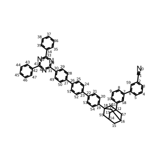 N#Cc1cccc(-c2cccc(C34CC5CC(CC(c6ccc(-c7ccc(-c8ccc(-c9nc(-c%10ccccc%10)nc(-c%10ccccc%10)n9)cc8)cc7)cc6)(C5)C3)C4)c2)c1